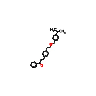 C=C(C)c1ccc(COCCc2ccc(/C=C/C(=O)c3ccccc3)cc2)cc1